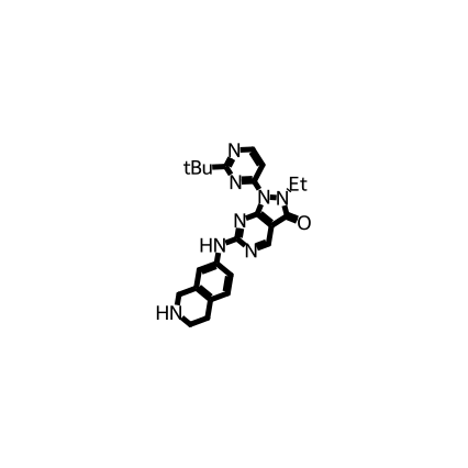 CCn1c(=O)c2cnc(Nc3ccc4c(c3)CNCC4)nc2n1-c1ccnc(C(C)(C)C)n1